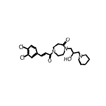 O=C(C=Cc1ccc(Cl)c(Cl)c1)N1CCC(=O)N(CC(O)CN2CCCCC2)CC1